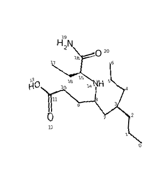 CCCC(CCC)CC(CCC(=O)O)N[C@@H](CC)C(N)=O